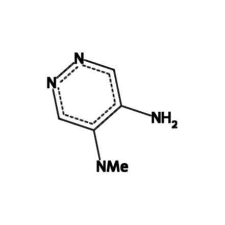 CNc1cnncc1N